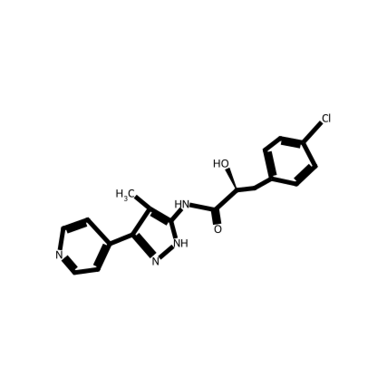 Cc1c(-c2ccncc2)n[nH]c1NC(=O)[C@@H](O)Cc1ccc(Cl)cc1